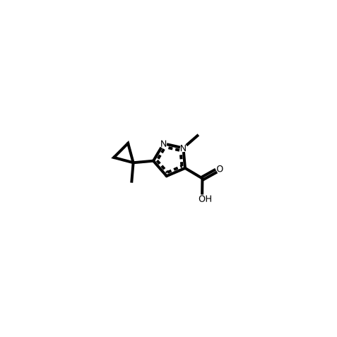 Cn1nc(C2(C)CC2)cc1C(=O)O